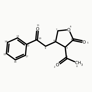 CC(=O)C1C(=O)OCC1CC(=O)c1ccccc1